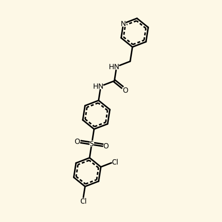 O=C(NCc1cccnc1)Nc1ccc(S(=O)(=O)c2ccc(Cl)cc2Cl)cc1